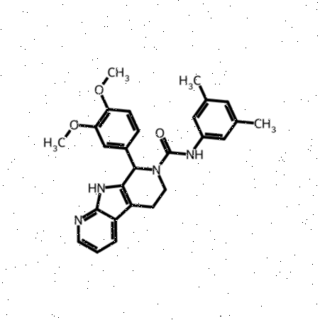 COc1ccc(C2c3[nH]c4ncccc4c3CCN2C(=O)Nc2cc(C)cc(C)c2)cc1OC